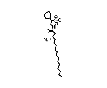 CCCCCCCCCCCCCCCC(=O)NCC(C1CCCCC1)S(=O)(=O)[O-].[Na+]